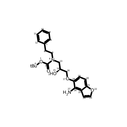 CC(C)(C)OC(=O)N(CCc1ccccc1)C[C@H](O)COc1ccc2occc2c1N